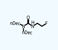 CCCCCCCCCCN(CCCCCCCCCC)C(=O)NCCF